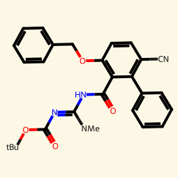 CN/C(=N\C(=O)OC(C)(C)C)NC(=O)c1c(OCc2ccccc2)ccc(C#N)c1-c1ccccc1